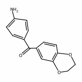 Nc1ccc(C(=O)c2ccc3c(c2)OCCO3)cc1